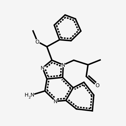 COC(c1ccccc1)c1nc2c(N)nc3ccccc3c2n1CC(C)C=O